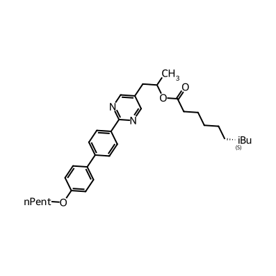 CCCCCOc1ccc(-c2ccc(-c3ncc(CC(C)OC(=O)CCCCC[C@@H](C)CC)cn3)cc2)cc1